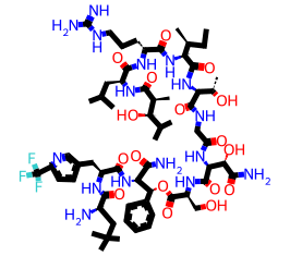 CC[C@H](C)[C@H](NC(=O)[C@@H](CCCNC(=N)N)NC(=O)[C@H](CC(C)C)NC(=O)[C@@H](C)[C@H](O)C(C)C)C(=O)N[C@H](C(=O)NCC(=O)N[C@H](C(=O)N[C@@H](CO)C(=O)O[C@H](c1ccccc1)[C@H](NC(=O)[C@H](Cc1ccc(C(F)(F)F)nc1)NC(=O)[C@H](N)CC(C)(C)C)C(N)=O)[C@H](O)C(N)=O)[C@H](C)O